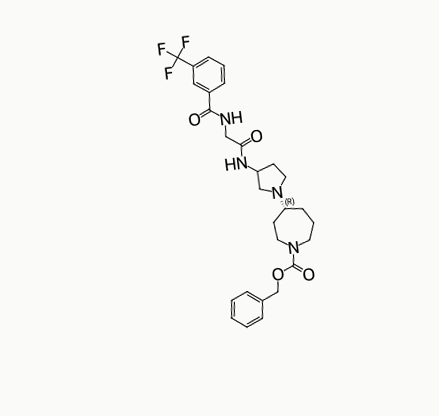 O=C(CNC(=O)c1cccc(C(F)(F)F)c1)NC1CCN([C@@H]2CCCN(C(=O)OCc3ccccc3)CC2)C1